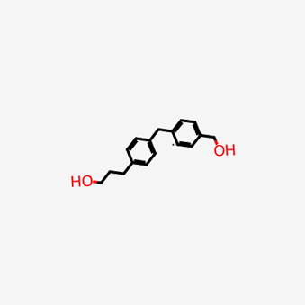 OCCCc1ccc(Cc2[c]cc(CO)cc2)cc1